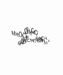 COc1ccc(CN(c2ccncn2)S(=O)(=O)c2ccc(N3CCC[C@@](CCc4cccc(C(F)(F)F)c4)(N(C)CCN(C)C)C3)cc2F)c(OC)c1